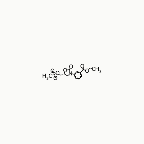 CCOC(=O)c1cccc(N2C[C@H](COS(C)(=O)=O)OC2=O)c1